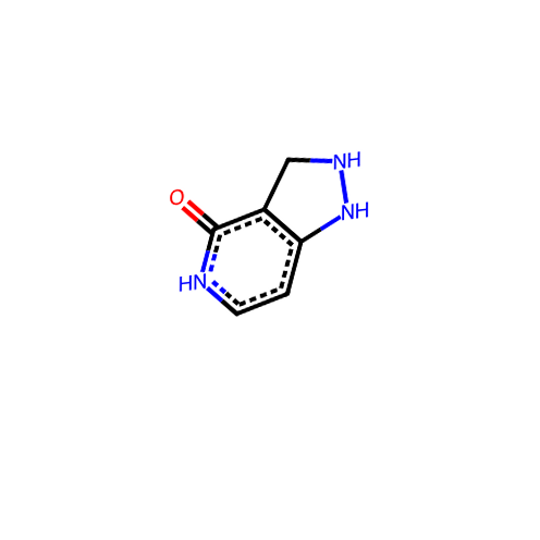 O=c1[nH]ccc2c1CNN2